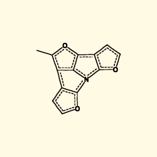 Cc1oc2c3ccoc3n3c4occc4c1c23